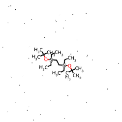 CC[Si](CC)(CC[Si](CC)(CC)OC(C)(C)C)OC(C)(C)C